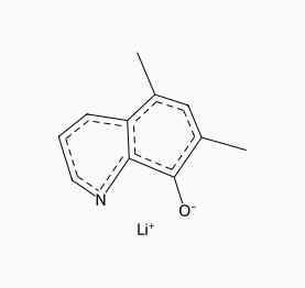 Cc1cc(C)c2cccnc2c1[O-].[Li+]